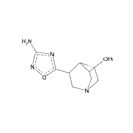 Nc1noc(C2CN3CCC2C(O)C3)n1